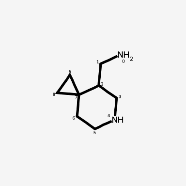 NCC1CNCCC12CC2